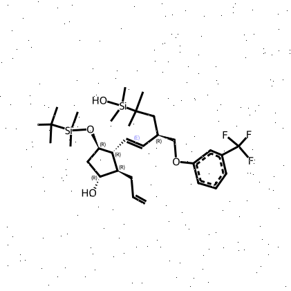 C=CC[C@@H]1[C@@H](/C=C/[C@H](COc2cccc(C(F)(F)F)c2)CC(C)(C)[Si](C)(C)O)[C@H](O[Si](C)(C)C(C)(C)C)C[C@H]1O